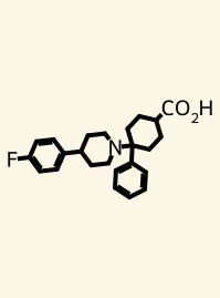 O=C(O)C1CCC(c2ccccc2)(N2CCC(c3ccc(F)cc3)CC2)CC1